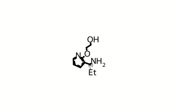 CC[C@@H](N)c1cccnc1OCCO